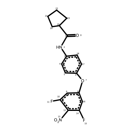 O=C(Nc1ccc(Oc2cc(F)c([N+](=O)[O-])c(F)c2)cc1)C1CCCC1